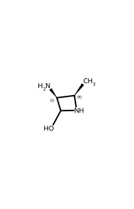 C[C@H]1NC(O)[C@H]1N